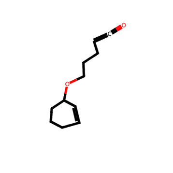 O=C=CCCCOC1C=CCCC1